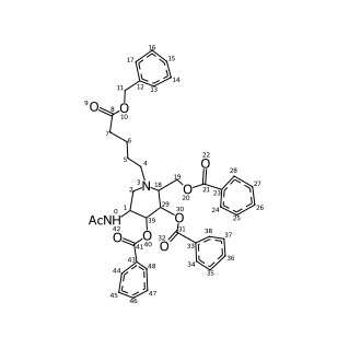 CC(=O)NC1CN(CCCCC(=O)OCc2ccccc2)C(COC(=O)c2ccccc2)C(OC(=O)c2ccccc2)C1OC(=O)c1ccccc1